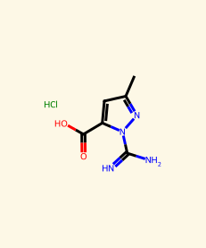 Cc1cc(C(=O)O)n(C(=N)N)n1.Cl